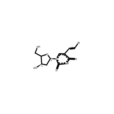 O=c1[nH]c(=O)n([C@H]2C[C@@H](O)C(CO)O2)cc1/C=C/Br